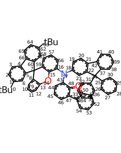 CC(C)(C)c1ccc2c(c1)C1(c3ccccc3Oc3c(N(c4ccc5c(c4)C(c4ccccc4)(c4ccccc4)c4ccccc4-5)c4cccc5c4oc4ccccc45)cccc31)c1cc(C(C)(C)C)ccc1-2